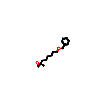 CC1(CCCCCCOCc2ccccc2)CO1